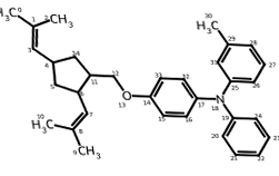 CC(C)=CC1CC(C=C(C)C)C(COc2ccc(N(c3ccccc3)c3cccc(C)c3)cc2)C1